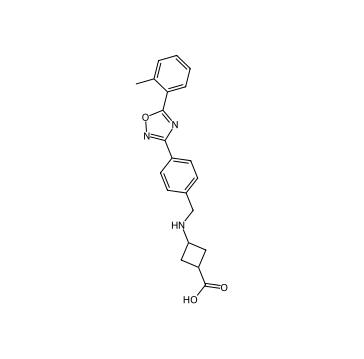 Cc1ccccc1-c1nc(-c2ccc(CNC3CC(C(=O)O)C3)cc2)no1